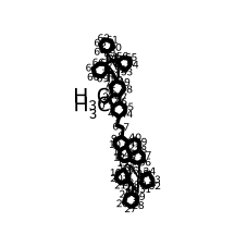 CC1(C)c2cc(/C=C/c3ccc4ccc5c(N6c7ccccc7N(c7ccccc7)c7ccccc76)ccc6ccc3c4c65)ccc2-c2ccc(N3c4ccccc4N(c4ccccc4)c4ccccc43)cc21